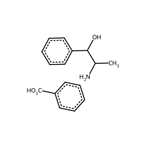 CC(N)C(O)c1ccccc1.O=C(O)c1ccccc1